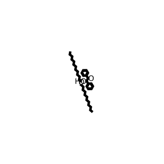 CCCCCCCCCCCCOCCCCCCCCCCCC.O=C(c1ccccc1)C(O)c1ccccc1